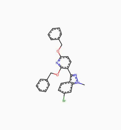 Cn1nc(-c2ccc(OCc3ccccc3)nc2OCc2ccccc2)c2ccc(Br)cc21